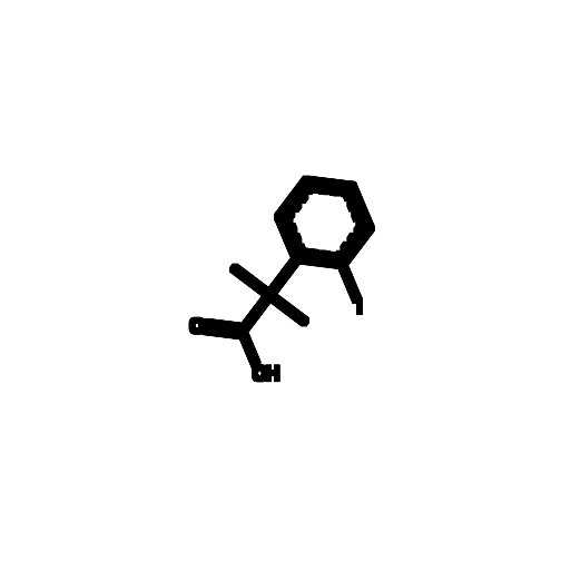 CC(C)(C(=O)O)c1ccccc1I